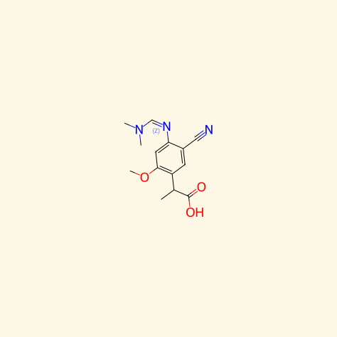 COc1cc(/N=C\N(C)C)c(C#N)cc1C(C)C(=O)O